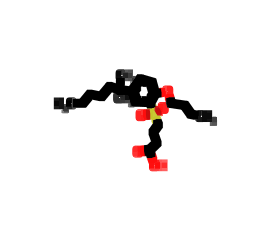 CCCCCC(C)(C)c1ccc(OCCCC)c(S(=O)(=O)CCCC(=O)O)c1